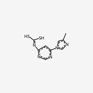 Cc1cn(-c2cc(N=C(S)S)ncn2)cn1